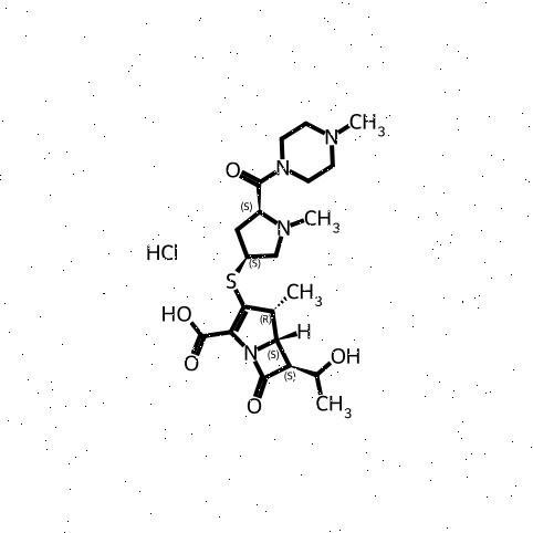 CC(O)[C@H]1C(=O)N2C(C(=O)O)=C(S[C@H]3C[C@@H](C(=O)N4CCN(C)CC4)N(C)C3)[C@H](C)[C@H]12.Cl